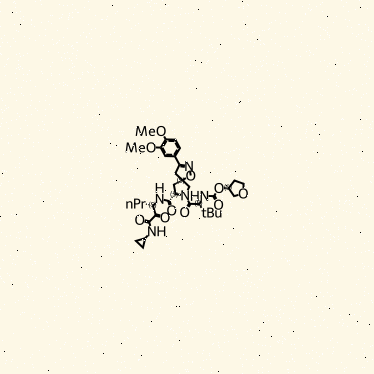 CCC[C@H](NC(=O)[C@@H]1C[C@]2(CC(c3ccc(OC)c(OC)c3)=NO2)CN1C(=O)[C@@H](NC(=O)O[C@H]1CCOC1)C(C)(C)C)C(=O)C(=O)NC1CC1